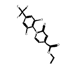 CCOC(=O)c1ccn(-c2c(Cl)cc(C(F)(F)F)cc2Cl)c(=O)c1